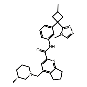 CC1CC(c2cccc(NC(=O)c3cc(CN4CCC[C@H](C)C4)c4c(n3)CCC4)c2)(c2nncn2C)C1